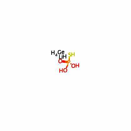 O=P(O)(O)S.[GeH4].[LiH]